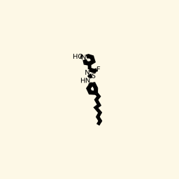 CCCCCCCCc1ccc(Nc2nc(-c3ccc[n+](O)c3)c(F)s2)cc1